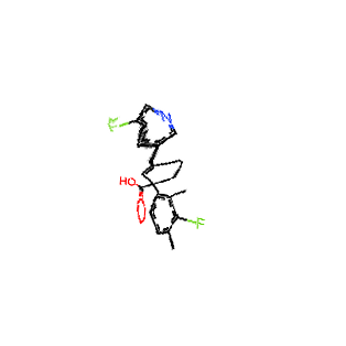 Cc1ccc(C2(C(=O)O)C=C(c3cncc(F)c3)CC2)c(C)c1F